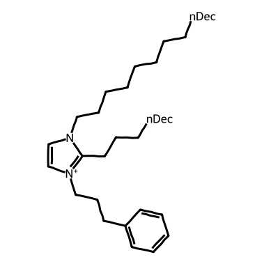 CCCCCCCCCCCCCCCCCCn1cc[n+](CCCc2ccccc2)c1CCCCCCCCCCCCC